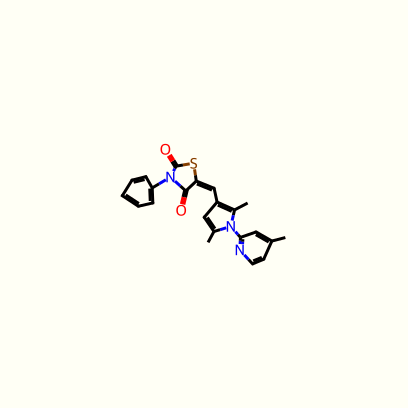 Cc1ccnc(-n2c(C)cc(C=C3SC(=O)N(c4ccccc4)C3=O)c2C)c1